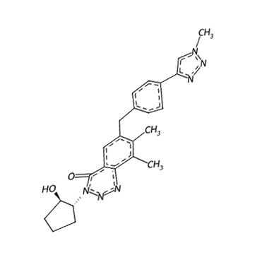 Cc1c(Cc2ccc(-c3cn(C)nn3)cc2)cc2c(=O)n([C@@H]3CCC[C@H]3O)nnc2c1C